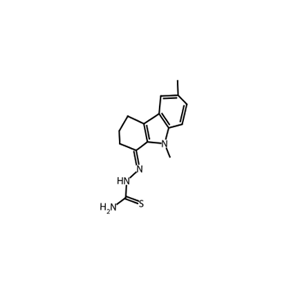 Cc1ccc2c(c1)c1c(n2C)C(=NNC(N)=S)CCC1